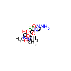 CN(C)P(=O)(OC[C@H]1O[C@@H](n2ccc(N)nc2=O)C(F)(F)C1O)N(C)C